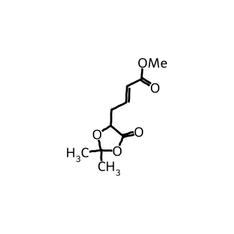 COC(=O)/C=C/CC1OC(C)(C)OC1=O